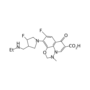 CCNCC1CN(c2c(F)cc3c(=O)c(C(=O)O)cn4c3c2OCN4C)CC1F